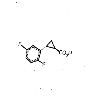 O=C(O)[C@@H]1C[C@H]1c1cc(F)ccc1F